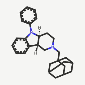 c1ccc(N2c3ccccc3[C@H]3CN(CC45CC6CC(CC(C6)C4)C5)CC[C@@H]32)cc1